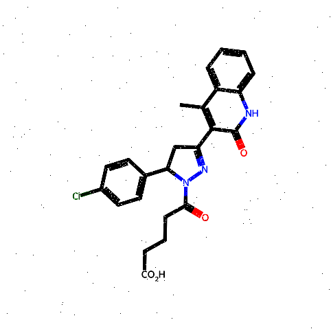 Cc1c(C2=NN(C(=O)CCCC(=O)O)C(c3ccc(Cl)cc3)C2)c(=O)[nH]c2ccccc12